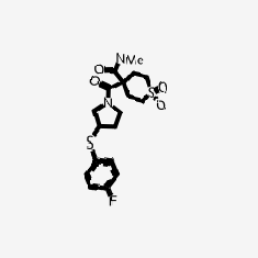 CNC(=O)C1(C(=O)N2CCC(Sc3ccc(F)cc3)C2)CCS(=O)(=O)CC1